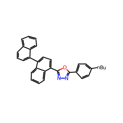 CCCCc1ccc(-c2nnc(-c3ccc(-c4cccc5ccccc45)c4ccccc34)o2)cc1